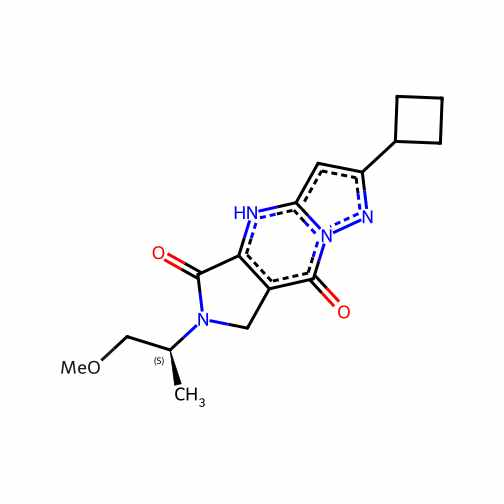 COC[C@H](C)N1Cc2c([nH]c3cc(C4CCC4)nn3c2=O)C1=O